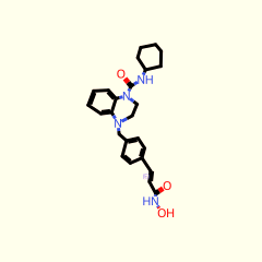 O=C(/C=C/c1ccc(CN2CCN(C(=O)NC3CCCCC3)c3ccccc32)cc1)NO